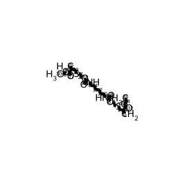 C=C(CSCCOC(=O)NCCCCCCNC(=O)OCCSCC(=C)C(=O)OCC)C(=O)OCC